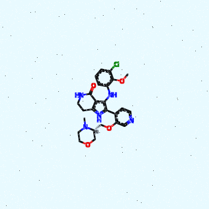 COc1c(Cl)cccc1Nc1c(-c2ccncc2OC[C@@H]2COCCN2C)[nH]c2c1C(=O)NCC2